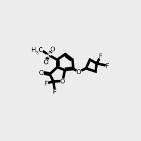 CS(=O)(=O)c1ccc(OC2CC(F)(F)C2)c2c1C(=O)C(F)(F)O2